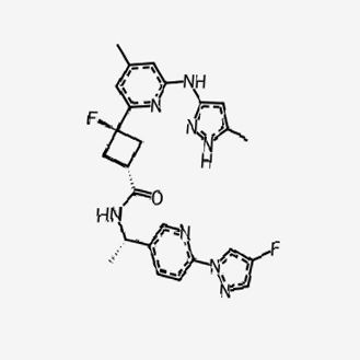 Cc1cc(Nc2cc(C)[nH]n2)nc([C@]2(F)C[C@H](C(=O)N[C@@H](C)c3ccc(-n4cc(F)cn4)nc3)C2)c1